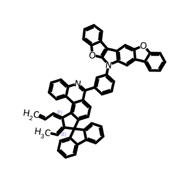 C=C/C=C1\C(=C/C)C2(c3ccccc3-c3ccccc32)c2ccc3c(-c4cccc(-n5c6cc7c(cc6c6c8ccccc8oc65)oc5ccccc57)c4)nc4ccccc4c3c21